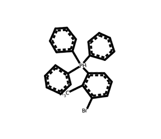 Cc1c(Br)cccc1[PH](c1ccccc1)(c1ccccc1)c1ccccc1